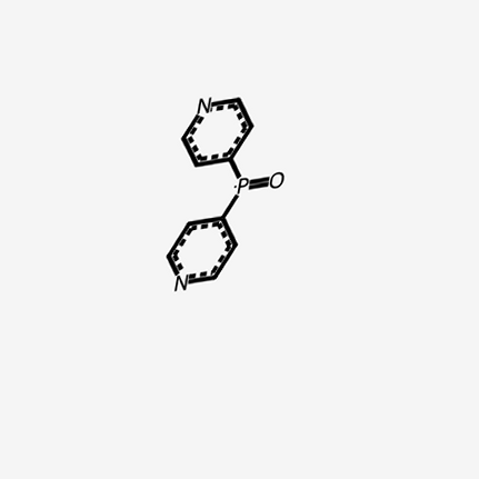 O=[P](c1ccncc1)c1ccncc1